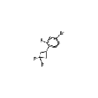 Fc1cc(Br)ccc1C1CC(F)(F)C1